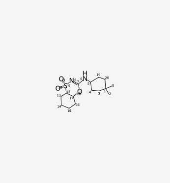 CC1(C)CCC(NC2=NS(=O)(=O)C3CCCCC3O2)CC1